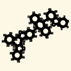 c1ccc2c(c1)oc1c(-c3c4ccccc4c(-c4ccc5c(c4)oc4c6ccccc6c6c7ccccc7oc6c54)c4ccccc34)cccc12